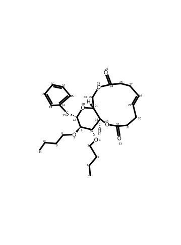 CCCCO[C@@H]1[C@@H](OCCCC)[C@H](Sc2ccccc2)O[C@@H]2COC(=O)CC/C=C/CCC(=O)O[C@@H]12